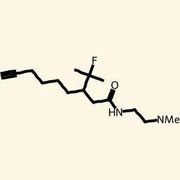 C#CCCCCC(CC(=O)NCCNC)C(C)(C)F